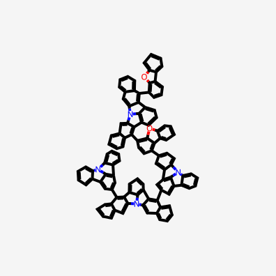 c1ccc2c(-c3cc4c5ccccc5n5c6ccccc6c(c3)c45)c3c4cccc5c6c(-c7cc8c9ccccc9n9c%10ccc(-c%11ccc(-c%12c%13ccccc%13cc%13c%12c%12cccc%14c%15c(-c%16cccc%17c%16oc%16ccccc%16%17)c%16ccccc%16cc%15n%13c%14%12)c%12oc%13ccccc%13c%11%12)cc%10c(c7)c89)c7ccccc7cc6n(c3cc2c1)c45